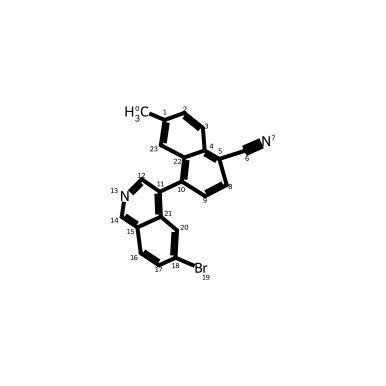 Cc1ccc2c(C#N)ccc(-c3cncc4ccc(Br)cc34)c2c1